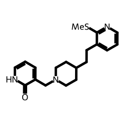 CSc1ncccc1CCC1CCN(Cc2ccc[nH]c2=O)CC1